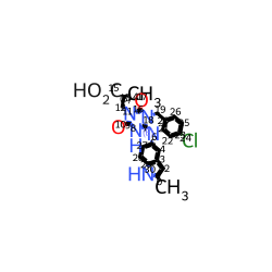 Cc1cc2cc(/N=c3\[nH]c(=O)n(C[C@H](C)C(=O)O)c(=O)n3Cc3ccc(Cl)cc3)ccc2[nH]1